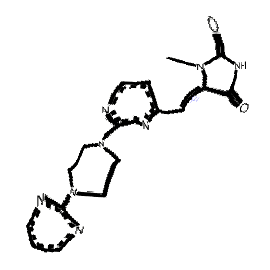 CN1C(=O)NC(=O)/C1=C/c1ccnc(N2CCN(c3ncccn3)CC2)n1